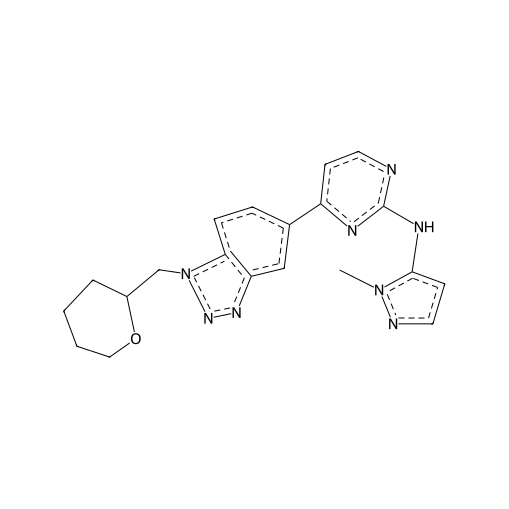 Cn1nccc1Nc1nccc(-c2ccc3c(c2)nnn3CC2CCCCO2)n1